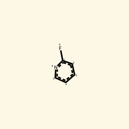 Fc1[c]cccn1